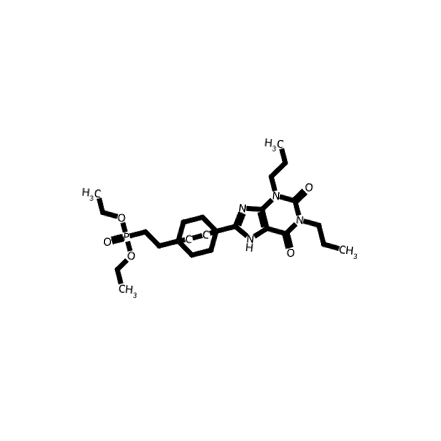 CCCn1c(=O)c2[nH]c(C34CCC(CCP(=O)(OCC)OCC)(CC3)CC4)nc2n(CCC)c1=O